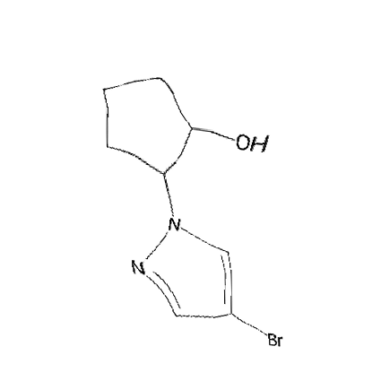 OC1CCCC1n1cc(Br)cn1